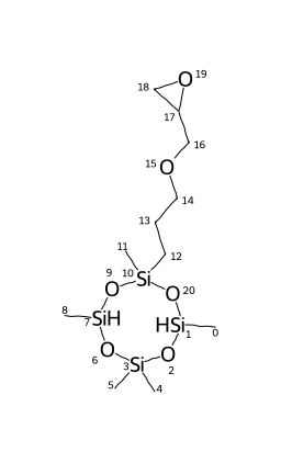 C[SiH]1O[Si](C)(C)O[SiH](C)O[Si](C)(CCCOCC2CO2)O1